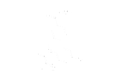 COC(=O)c1cccc(Cn2c(=O)c(=O)[nH]c3cc([N+](=O)[O-])ccc32)c1